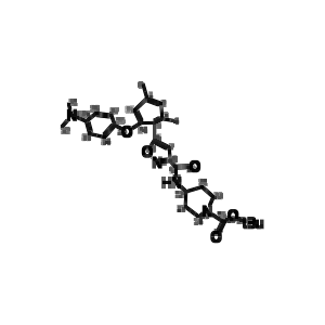 Cc1cc(C)c(-c2cc(C(=O)NC3CCN(C(=O)OC(C)(C)C)CC3)no2)c(Oc2ccc(N(C)C)cc2)c1